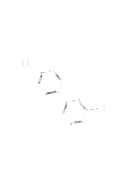 Oc1ccc(-c2cccc(Cl)c2Cl)cc1